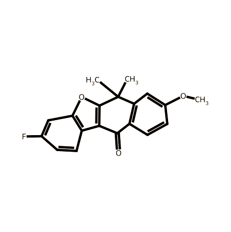 COc1ccc2c(c1)C(C)(C)c1oc3cc(F)ccc3c1C2=O